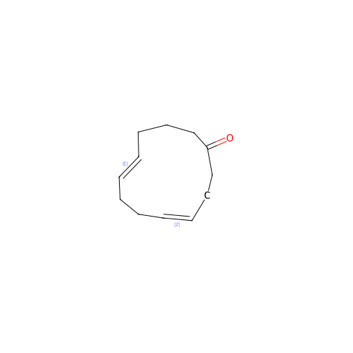 O=C1CC/C=C\CC/C=C/CCC1